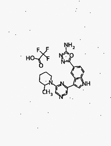 CC1CCCCN1c1cncc(-c2c[nH]c3ccc(-c4nnc(N)o4)cc23)n1.O=C(O)C(F)(F)F